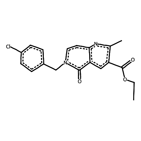 CCOC(=O)c1cc2c(=O)n(Cc3ccc(Cl)cc3)ccc2nc1C